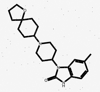 Cc1ccc2[nH]c(=O)n(C3CCN(C4CCC5(CCCO5)CC4)CC3)c2c1